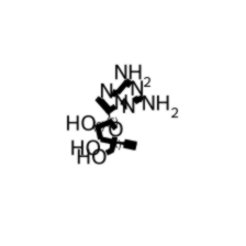 C#C[C@]1(CO)O[C@@H](c2cnc3c(N)nc(N)nn23)[C@@H](O)C1O